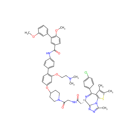 COc1cccc(-c2cc(C(=O)Nc3ccc(-c4ccc(OC5CCN(C(=O)CNC(=O)C[C@@H]6N=C(c7ccc(Cl)cc7)c7c(sc(C)c7C)-n7c(C)nnc76)CC5)cc4OCCN(C)C)cc3)ccc2OC)c1